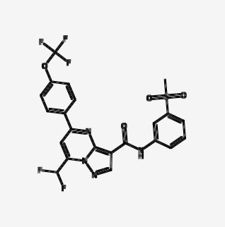 CS(=O)(=O)c1cccc(NC(=O)c2cnn3c(C(F)F)cc(-c4ccc(OC(F)(F)F)cc4)nc23)c1